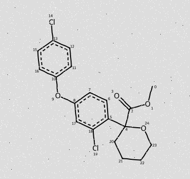 COC(=O)C1(c2ccc(Oc3ccc(Cl)cc3)cc2Cl)CCCCO1